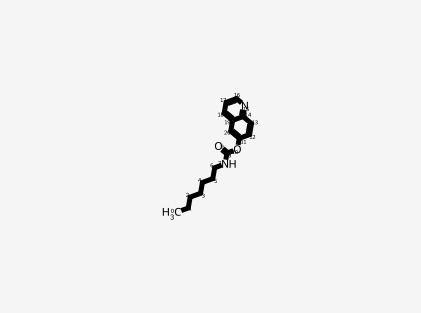 CCCCCCCNC(=O)Oc1ccc2ncccc2c1